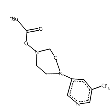 CC(C)(C)C(=O)ON1CCN(c2cncc(C(F)(F)F)c2)CC1